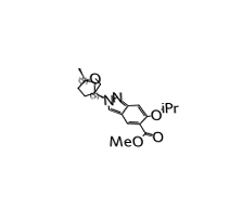 COC(=O)c1cc2cn([C@@]34CC[C@@](C)(C3)OC4)nc2cc1OC(C)C